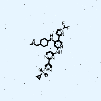 CN(C)CC1CCC(Nc2cc(Nc3ccnc(-c4cnn(S(=O)(=O)C5CC5)c4)n3)ncc2-c2ccn(C(F)F)n2)CC1